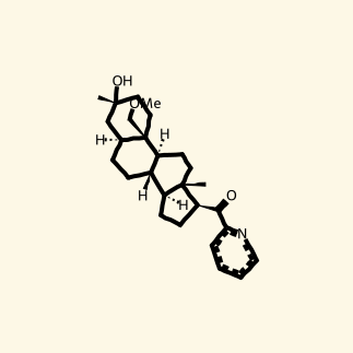 COC[C@]12CC[C@@](C)(O)C[C@@H]1CC[C@H]1[C@@H]3CC[C@H](C(=O)c4ccccn4)[C@@]3(C)CC[C@@H]12